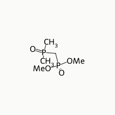 COP(=O)(CP(C)(C)=O)OC